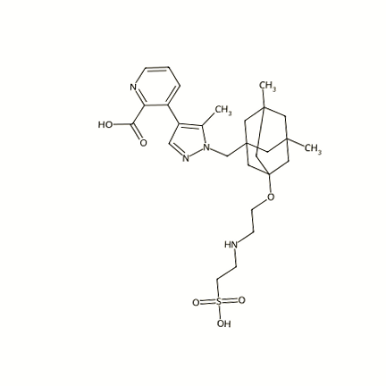 Cc1c(-c2cccnc2C(=O)O)cnn1CC12CC3(C)CC(C)(C1)CC(OCCNCCS(=O)(=O)O)(C3)C2